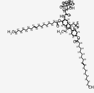 CCCCCCCCC=CCCCCCCCC(=O)Oc1ccc(-c2c(CC(F)(F)F)c3cc(NC(=O)CCC(C)(P(=O)(O)O)P(=O)(O)O)c(OC(=O)CCCCCCCC=CCCCCCCCC)cc3n2CC)cc1